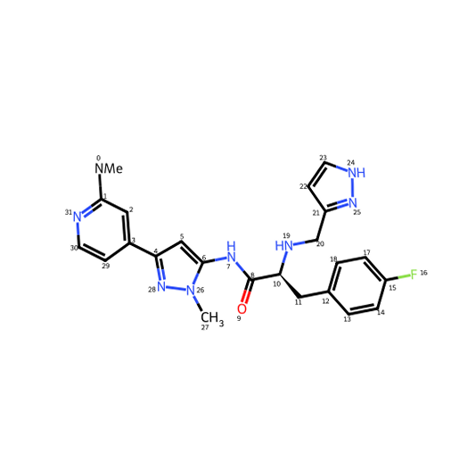 CNc1cc(-c2cc(NC(=O)[C@H](Cc3ccc(F)cc3)NCc3cc[nH]n3)n(C)n2)ccn1